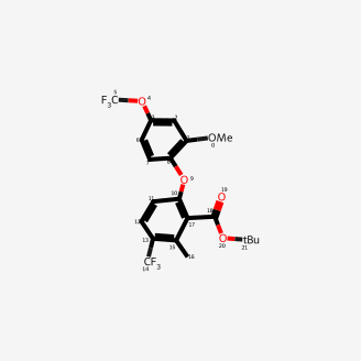 COc1cc(OC(F)(F)F)ccc1Oc1ccc(C(F)(F)F)c(C)c1C(=O)OC(C)(C)C